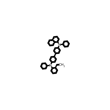 C=Cc1ccccc1N(c1ccccc1)c1ccc(-c2ccc(N(c3ccccc3)c3cccc4ccccc34)cc2)cc1